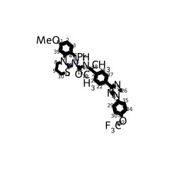 COc1ccc(C(C)C)c(N2CCCS/C2=N\C(=O)NC(C)(C)c2ccc(-c3ncn(-c4ccc(OC(F)(F)F)cc4)n3)cc2)c1